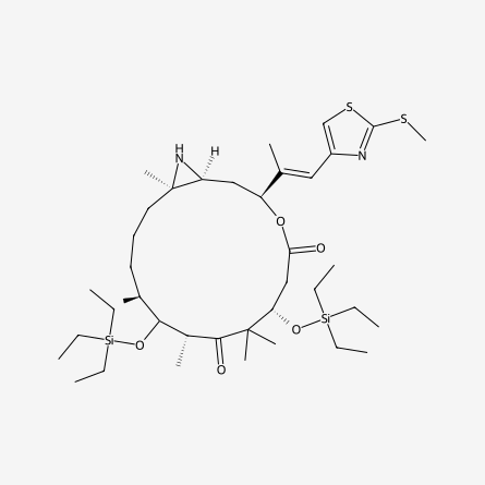 CC[Si](CC)(CC)OC1[C@@H](C)CCC[C@@]2(C)N[C@H]2C[C@@H](/C(C)=C/c2csc(SC)n2)OC(=O)C[C@H](O[Si](CC)(CC)CC)C(C)(C)C(=O)[C@@H]1C